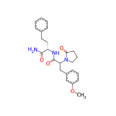 COc1cccc(CC(C(=O)N[C@@H](CCc2ccccc2)C(N)=O)N2CCCC2=O)c1